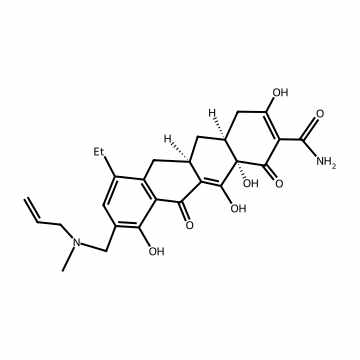 C=CCN(C)Cc1cc(CC)c2c(c1O)C(=O)C1=C(O)[C@]3(O)C(=O)C(C(N)=O)=C(O)C[C@@H]3C[C@@H]1C2